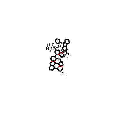 CC1C=C(c2cccc3cccc(-c4ccccc4N(c4ccc(-c5ccc6c7ccccc7n(-c7ccccc7)c6c5)cc4)c4ccccc4-c4cc(C(C)(C)C)cc(C(C)(C)C)c4)c23)C=CC1